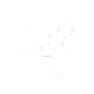 Cc1n(CCC(F)(F)F)c2c([n+]1CCC(F)(F)F)C(=O)c1ccccc1C2=O.[Br-]